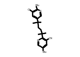 CC(C)(C)c1cnc(C(C)(C)CCC(C)(C)c2cnc(C(C)(C)C)c(Cl)c2)c(C#N)c1